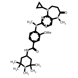 COc1cc(C(=O)NC2CC(C)(C)N(C)C(C)(C)C2)ccc1N(C)c1ncc2c(n1)N(C1CC1)CCC(=O)N2C